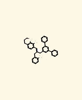 Nc1ccccc1C/C(=C\c1ccc2c(c1N)NCCC2)Cc1cc(-c2ccccc2)cc(-c2ccccc2)c1